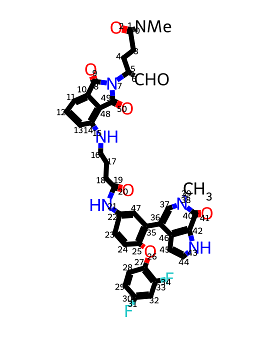 CNC(=O)CCC(C=O)N1C(=O)c2cccc(NCCCC(=O)Nc3ccc(Oc4ccc(F)cc4F)c(-c4cn(C)c(=O)c5[nH]ccc45)c3)c2C1=O